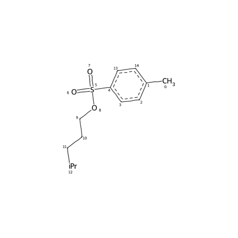 Cc1ccc(S(=O)(=O)OCCCC(C)C)cc1